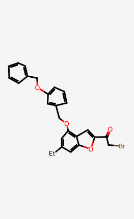 CCc1cc(OCc2cccc(OCc3ccccc3)c2)c2cc(C(=O)CBr)oc2c1